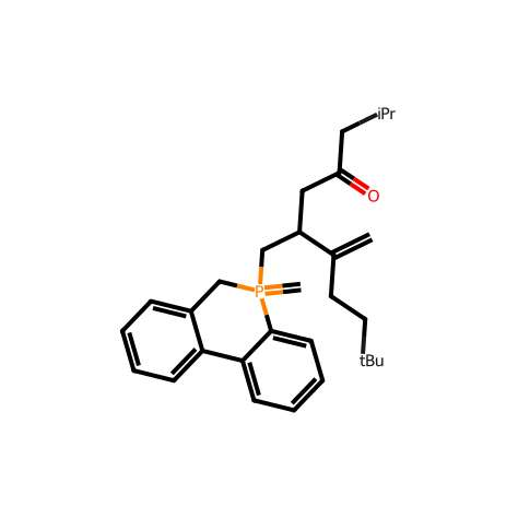 C=C(CCC(C)(C)C)C(CC(=O)CC(C)C)CP1(=C)Cc2ccccc2-c2ccccc21